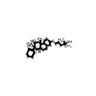 CCC12CC(C)(O)C(O)(c3ccccc3)C[C@H]1CCc1cc(OCCCC(C)(C)O)ccc12